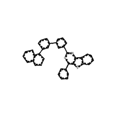 c1ccc(-c2nc(-c3cccc(-c4cccc(-c5cccc6ccccc56)c4)c3)nc3c2sc2ccccc23)cc1